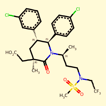 C[C@@H](CCN(CC(F)(F)F)S(C)(=O)=O)N1C(=O)[C@@](C)(CC(=O)O)C[C@H](c2cccc(Cl)c2)[C@H]1c1ccc(Cl)cc1